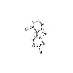 Sc1nnc2c(n1)[nH]c1cccc(Br)c12